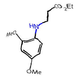 CCOC(=O)CCNc1ccc(OC)cc1OC